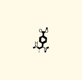 CN[C@@H](C)[C@H](c1ccc(C(=O)OC)cc1)N(C)C